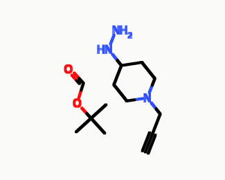 C#CCN1CCC(NN)CC1.CC(C)(C)OC=O